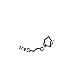 COCCON1[C]=NCC1